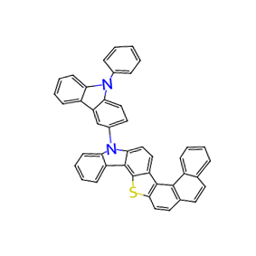 c1ccc(-n2c3ccccc3c3cc(-n4c5ccccc5c5c6sc7ccc8ccc9ccccc9c8c7c6ccc54)ccc32)cc1